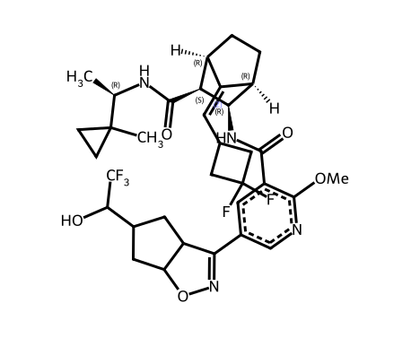 COc1ncc(C2=NOC3CC(C(O)C(F)(F)F)CC23)cc1C(=O)N[C@H]1[C@@H](C(=O)N[C@H](C)C2(C)CC2)[C@H]2CC[C@@H]1/C2=C\C1CC(F)(F)C1